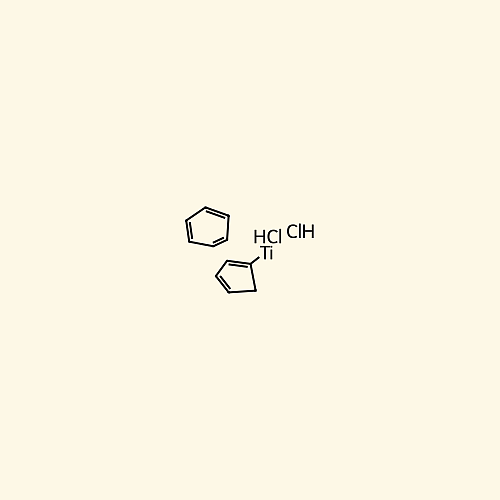 Cl.Cl.[Ti][C]1=CC=CC1.c1ccccc1